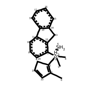 CC1=[C]([ZrH2]([CH3])([CH3])(=[SiH2])[c]2cccc3c2Cc2ccccc2-3)CC=C1